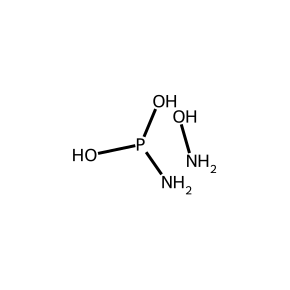 NO.NP(O)O